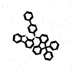 c1ccc(-c2ccc(N(c3cccc4c3-c3ccccc3C4(c3ccccc3)c3ccccc3)c3cccc4c3sc3ccccc34)cc2)cc1